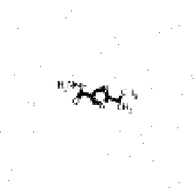 CC(C)c1ncc(C(=O)NN)cn1